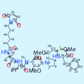 CCC(C)C(C(CC(=O)N1CCC[C@H]1C(OC)C(C)C(=S)NC(Cc1ccccc1)C(=O)OC)OC)N(C)C(=O)C(NC(=O)C(C)(C)NC(=O)CCCCCN1C(=O)C=CC1=O)C(C)C